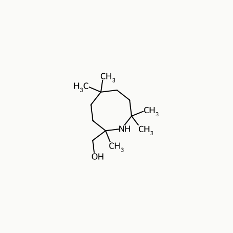 CC1(C)CCC(C)(C)NC(C)(CO)CC1